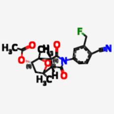 CC(=O)O[C@H]1CC2(C)OC1(C)[C@@H]1C(=O)N(c3ccc(C#N)c(CF)c3)C(=O)[C@@H]12